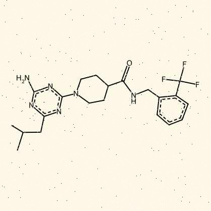 CC(C)Cc1nc(N)nc(N2CCC(C(=O)NCc3ccccc3C(F)(F)F)CC2)n1